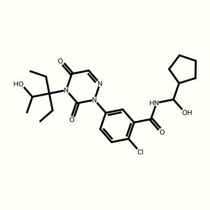 CCC(CC)(C(C)O)n1c(=O)cnn(-c2ccc(Cl)c(C(=O)NC(O)C3CCCC3)c2)c1=O